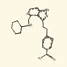 NC(=O)c1ccc(CCc2n[nH]c3ccnc(NC4CCCCC4)c23)cc1